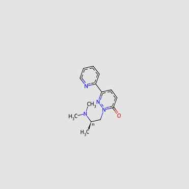 C[C@H](Cn1nc(-c2ccccn2)ccc1=O)N(C)C